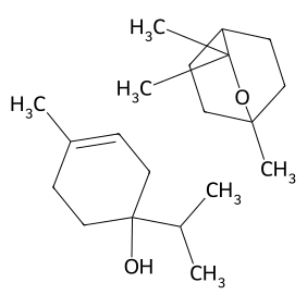 CC12CCC(CC1)C(C)(C)O2.CC1=CCC(O)(C(C)C)CC1